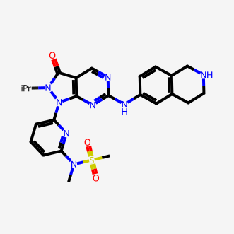 CC(C)n1c(=O)c2cnc(Nc3ccc4c(c3)CCNC4)nc2n1-c1cccc(N(C)S(C)(=O)=O)n1